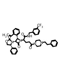 C=Cc1ccccc1[C@@H]1[C@H](N2C(=O)OC[C@@H]2c2ccccc2)C(=O)N1C(CCC(=O)N1CCN(CCc2ccccc2)CC1)C(=O)NCc1cccc(C(F)(F)F)c1